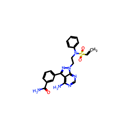 C=CS(=O)(=O)N(CCn1nc(-c2cccc(C(N)=O)c2)c2c(N)ncnc21)c1ccccc1